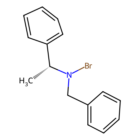 C[C@H](c1ccccc1)N(Br)Cc1ccccc1